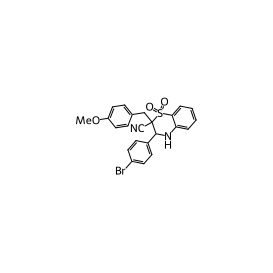 COc1ccc(CC2(C#N)C(c3ccc(Br)cc3)Nc3ccccc3S2(=O)=O)cc1